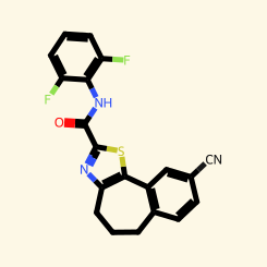 N#Cc1ccc2c(c1)-c1sc(C(=O)Nc3c(F)cccc3F)nc1CCC2